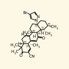 C[C@@H]1[C@H]2[C@H]3C(=O)C=C4[C@@]5(C)C=C(C#N)C(=O)C(C)(C)[C@@H]5CC[C@@]4(C)[C@]3(C)CC[C@@]2(n2cc(Br)cn2)CC[C@H]1C